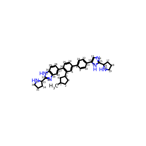 CC1CCC(c2cc(-c3ccc(-c4cnc(C5CCCN5)[nH]4)cc3)ccc2-c2ccc3[nH]c(C4CCCN4)nc3c2)C1